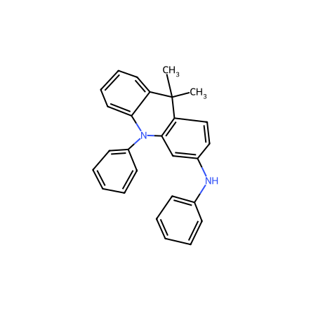 CC1(C)c2ccccc2N(c2ccccc2)c2cc(Nc3ccccc3)ccc21